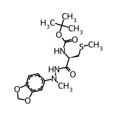 CSC[C@H](NC(=O)OC(C)(C)C)C(=O)NN(C)c1ccc2c(c1)OCO2